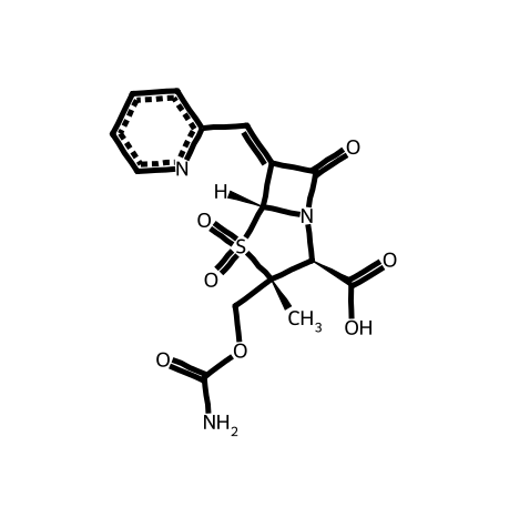 C[C@]1(COC(N)=O)[C@H](C(=O)O)N2C(=O)/C(=C/c3ccccn3)[C@H]2S1(=O)=O